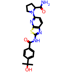 CC(C)(O)c1ccc(C(=O)Nc2nc3ccc(N4CCCC4C(N)=O)nc3s2)cc1